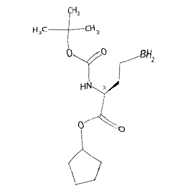 BCC[C@H](NC(=O)OC(C)(C)C)C(=O)OC1CCCC1